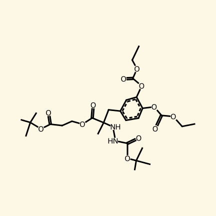 CCOC(=O)Oc1ccc(CC(C)(NNC(=O)OC(C)(C)C)C(=O)OCCC(=O)OC(C)(C)C)cc1OC(=O)OCC